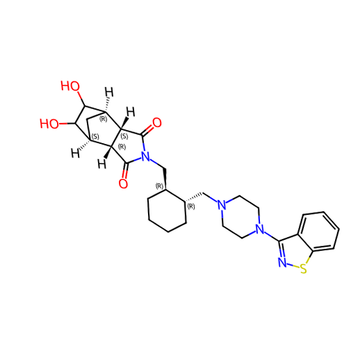 O=C1[C@@H]2[C@H](C(=O)N1C[C@@H]1CCCC[C@H]1CN1CCN(c3nsc4ccccc34)CC1)[C@@H]1C[C@H]2C(O)C1O